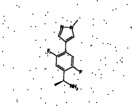 C[C@H](N)c1cc(F)c(-c2cnn(C)c2)cc1F